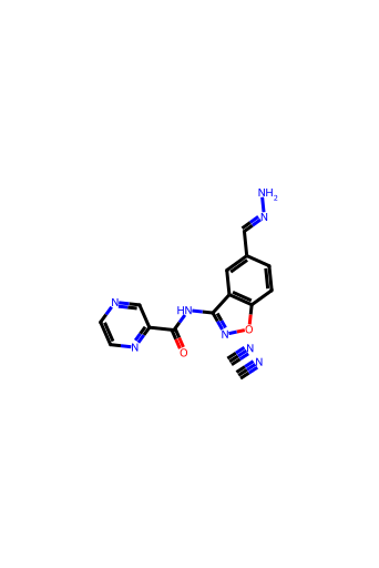 C#N.C#N.NN=Cc1ccc2onc(NC(=O)c3cnccn3)c2c1